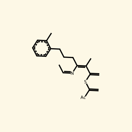 C=C(SC(=C)/C(C)=C(CCCc1ccccc1C)\N=C/C)C(C)=O